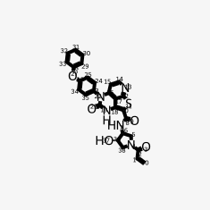 C=CC(=O)N1CC(NC(=O)c2sc3nccc4c3c2NC(=O)N4c2ccc(Oc3ccccc3)cc2)[C@@H](O)C1